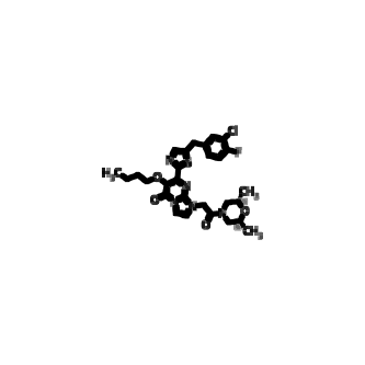 CCCCOc1c(-c2ncc(Cc3ccc(F)c(Cl)c3)s2)nc2n(CC(=O)N3C[C@H](C)O[C@@H](C)C3)ccn2c1=O